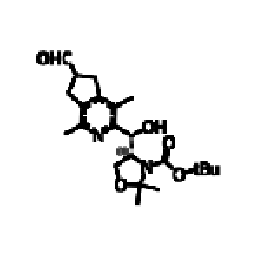 Cc1nc(C(O)[C@H]2COC(C)(C)N2C(=O)OC(C)(C)C)c(C)c2c1CC(C=O)C2